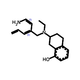 C=C/C=C(\C=C/N)CN(CC)C1CCc2cccc(O)c2C1